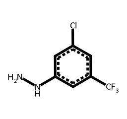 NNc1cc(Cl)cc(C(F)(F)F)c1